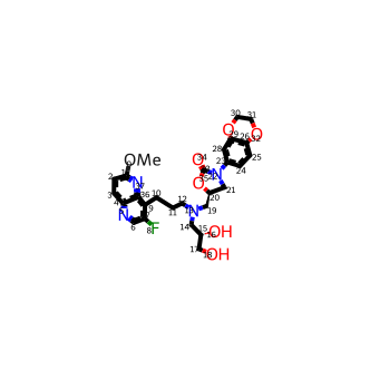 COc1ccc2ncc(F)c(CCCN(C[C@H](O)CO)C[C@@H]3CN(c4ccc5c(c4)OCCO5)C(=O)O3)c2n1